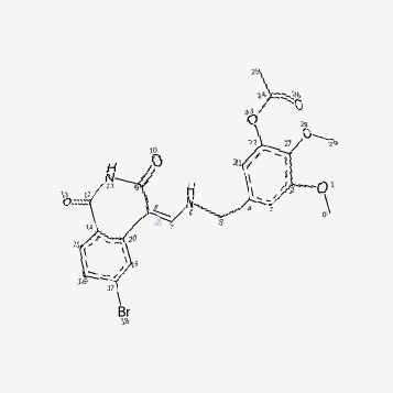 COc1cc(CN/C=C2\C(=O)NC(=O)c3ccc(Br)cc32)cc(OC(C)=O)c1OC